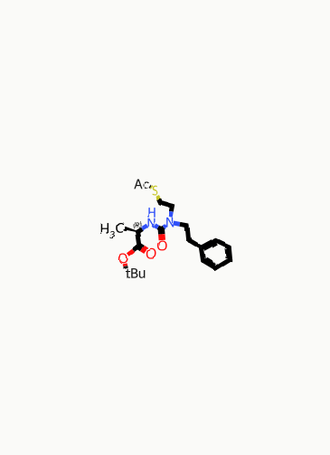 CC(=O)SCCN(CCc1ccccc1)C(=O)N[C@H](C)C(=O)OC(C)(C)C